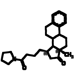 C[C@]12CCC3c4ccccc4CCC3C1[C@H](CCCC(=O)N1CCCC1)CC2=O